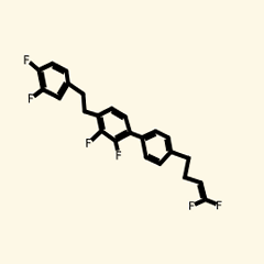 FC(F)=CCCc1ccc(-c2ccc(CCc3ccc(F)c(F)c3)c(F)c2F)cc1